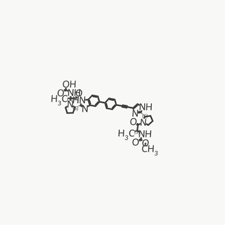 COC(=O)N[C@@H](C)C(=O)N1CCC[C@H]1c1nc(C#Cc2ccc(-c3ccc4[nH]c([C@@H]5CCCN5[C@@](C)(C=O)NC(=O)O)nc4c3)cc2)c[nH]1